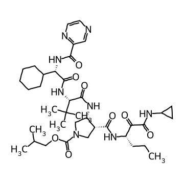 CCC[C@H](NC(=O)[C@@H]1CN(C(=O)OCC(C)C)C[C@@H]1NC(=O)[C@@H](NC(=O)[C@@H](NC(=O)c1cnccn1)C1CCCCC1)C(C)(C)C)C(=O)C(=O)NC1CC1